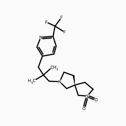 CC(C)(Cc1ccc(C(F)(F)F)nc1)CN1CC[C@]2(CCS(=O)(=O)C2)C1